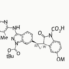 COc1ccc2c(c1)[C@]1(C[C@H]1c1ccc3c(Nc4nc(C)ccc4OC)nn(C(=O)OC(C)(C)C)c3c1)C(=O)N2C(=O)O